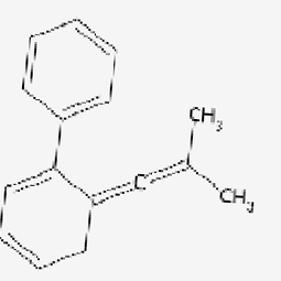 CC(C)=C=C1CC=CC=C1c1ccccc1